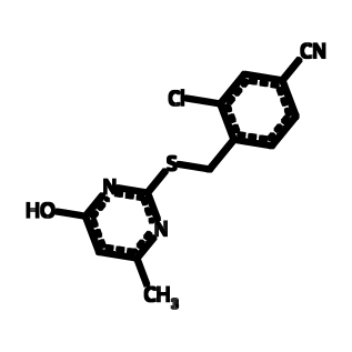 Cc1cc(O)nc(SCc2ccc(C#N)cc2Cl)n1